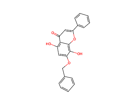 O=c1cc(-c2ccccc2)oc2c(O)c(OCc3ccccc3)cc(O)c12